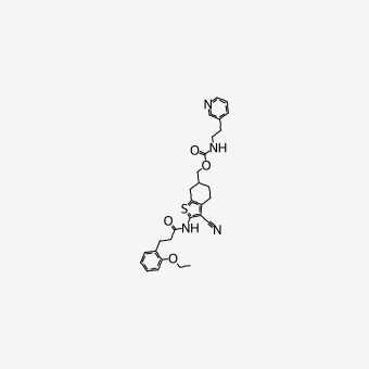 CCOc1ccccc1CCC(=O)Nc1sc2c(c1C#N)CCC(COC(=O)NCCc1cccnc1)C2